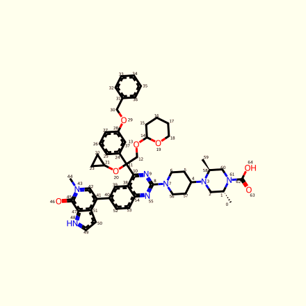 C[C@@H]1CN(C2CCN(c3nc(C(COC4CCCCO4)(OC4CC4)c4cccc(OCc5ccccc5)c4)c4cc(-c5cn(C)c(=O)c6[nH]ccc56)ccc4n3)CC2)[C@@H](C)CN1C(=O)O